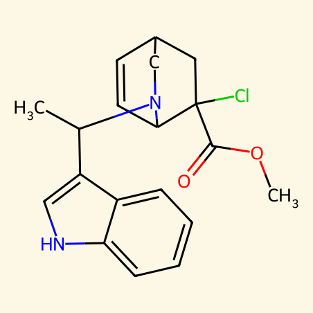 COC(=O)C1(Cl)CC2C=CC1N(C(C)c1c[nH]c3ccccc13)C2